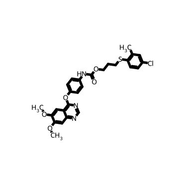 COc1cc2ncnc(Oc3ccc(NC(=O)OCCCSc4ccc(Cl)cc4C)cc3)c2cc1OC